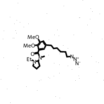 CCN1CCCC1N(C)C(=O)c1cc(CCCCCCN=[N+]=[N-])cc(OC)c1OC